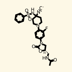 [C-]#[N+]C1(NS(=O)(=O)c2ccccc2)CCN(c2ccc(N3C[C@H](CNC(C)=O)OC3=O)cc2F)CC1